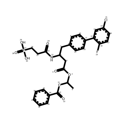 CC(OC(=O)CC(Cc1ccc(-c2cc(Cl)ccc2F)cc1)NC(=O)CCP(=O)(O)O)OC(=O)c1ccccc1